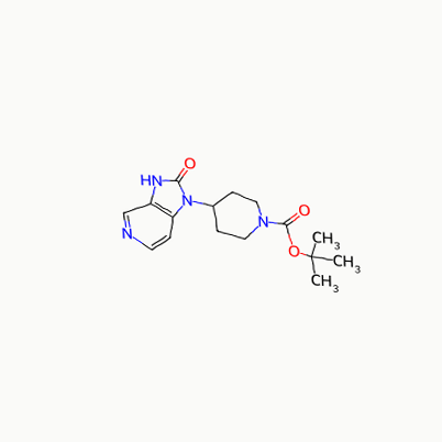 CC(C)(C)OC(=O)N1CCC(n2c(=O)[nH]c3cnccc32)CC1